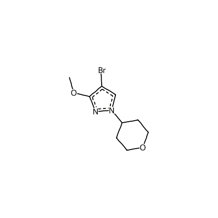 COc1nn(C2CCOCC2)cc1Br